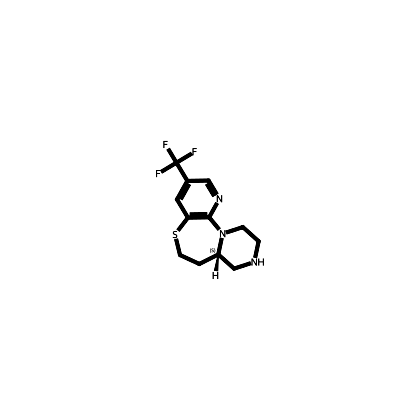 FC(F)(F)c1cnc2c(c1)SCC[C@H]1CNCCN21